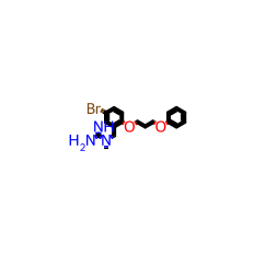 CN(Cc1cc(Br)ccc1OCCCOc1ccccc1)C(=N)N